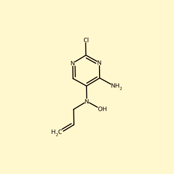 C=CCN(O)c1cnc(Cl)nc1N